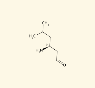 CC(C)C[C@H](N)CC=O